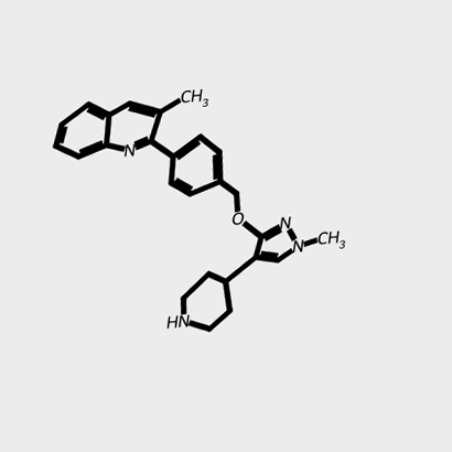 Cc1cc2ccccc2nc1-c1ccc(COc2nn(C)cc2C2CCNCC2)cc1